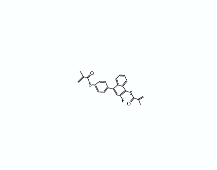 C=C(C)C(=O)Sc1ccc(-c2cc(F)c(SC(=O)C(=C)C)c3ccccc23)cc1